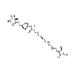 CC(S)NC(=O)OCc1ccc(NC(=O)CCOCCOCCOCCOCCN2C(=O)CC(C(C)C)C2=O)cc1